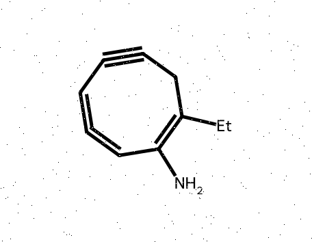 CC/C1=C(\N)C=C=CC#CC1